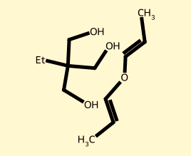 CC=COC=CC.CCC(CO)(CO)CO